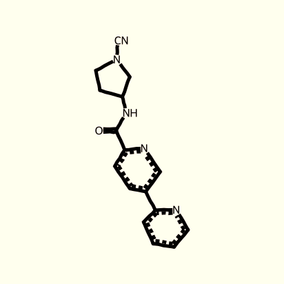 N#CN1CCC(NC(=O)c2ccc(-c3ccccn3)cn2)C1